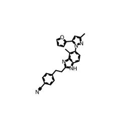 Cc1cc(-c2ccco2)n(-c2ccc3[nH]c(CCc4ccc(C#N)cc4)nc3c2C)n1